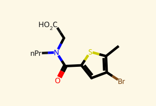 CCCN(CC(=O)O)C(=O)c1cc(Br)c(C)s1